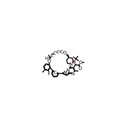 COC(=O)[C@@H](OC(C)(C)C)c1c(C)nc2cc3nn2c1N1CCC(C)(CC1)OCCCC[C@H](C)Oc1ccc(C)c(F)c1-c1cccc-3c1